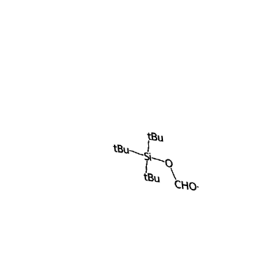 CC(C)(C)[Si](O[C]=O)(C(C)(C)C)C(C)(C)C